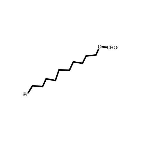 CC(C)CCCCCCCCCCO[C]=O